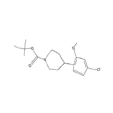 COc1cc(Cl)ccc1C1CCN(C(=O)OC(C)(C)C)CC1